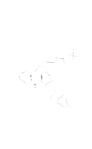 Cc1ccc(S(=O)(=O)Oc2ccc3c4c(nn3CCNC(=O)OC(C)(C)C)-c3cnccc3C(=O)c24)cc1